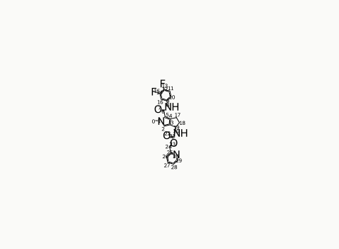 Cn1cc2c(c1C(=O)Nc1ccc(F)c(F)c1)CCC2NC(=O)OCc1ccccn1